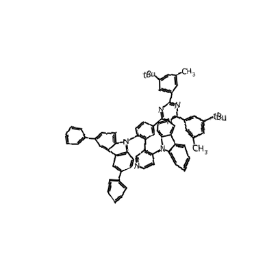 Cc1cc(-c2nc(-c3cc(C)cc(C(C)(C)C)c3)nc(-c3ccc(-n4c5ccc(-c6ccccc6)cc5c5cc(-c6ccccc6)ccc54)c(-c4cnccc4-n4c5ccccc5c5ccccc54)c3)n2)cc(C(C)(C)C)c1